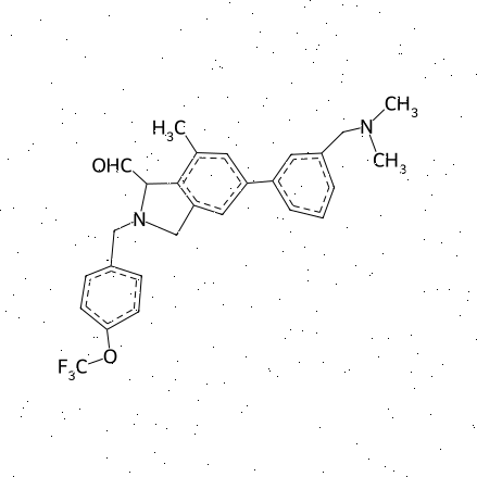 Cc1cc(-c2cccc(CN(C)C)c2)cc2c1C(C=O)N(Cc1ccc(OC(F)(F)F)cc1)C2